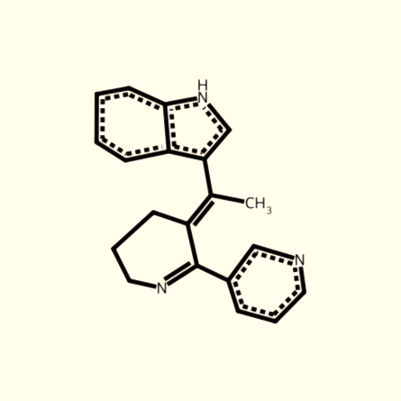 CC(=C1CCCN=C1c1cccnc1)c1c[nH]c2ccccc12